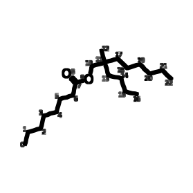 CCCCCCCC(=O)OCC(C)(CCCC)CCCCCC